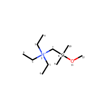 CC[N+](CC)(CC)C[Si](C)(C)OC